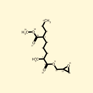 CCCC(CCCC(C)C(=O)OCC1CO1)C(=O)OC